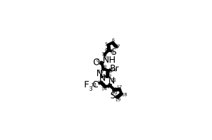 O=C(NCc1cccs1)c1nn2c(C(F)(F)F)cc(-c3cccs3)nc2c1Br